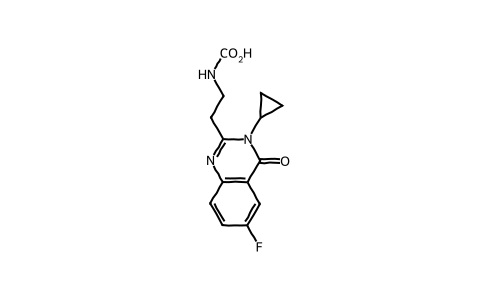 O=C(O)NCCc1nc2ccc(F)cc2c(=O)n1C1CC1